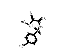 C=C(NS(=O)(=O)c1ccc(C)cc1)C(=O)OC(C)(C)C